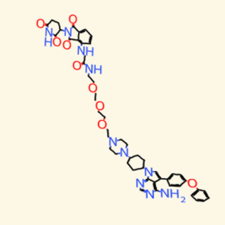 Nc1ncnc2c1c(-c1ccc(Oc3ccccc3)cc1)cn2[C@H]1CC[C@@H](N2CCN(CCOCCOCCOCCNC(=O)CNc3cccc4c3C(=O)N(C3CCC(=O)NC3=O)C4=O)CC2)CC1